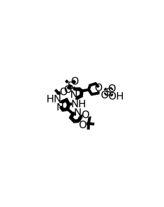 CC(=O)Nc1cc(Nc2cc(C3CCOCC3)cc(S(C)(=O)=O)n2)c(-c2ccc3c(n2)OCC(C)(C)O3)cn1.CS(=O)(=O)O